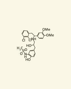 COc1ccc(C(Cc2cccc(Cl)c2Cl)NCC(O)Cc2ccc(O)c(NS(C)(=O)=O)c2)cc1OC